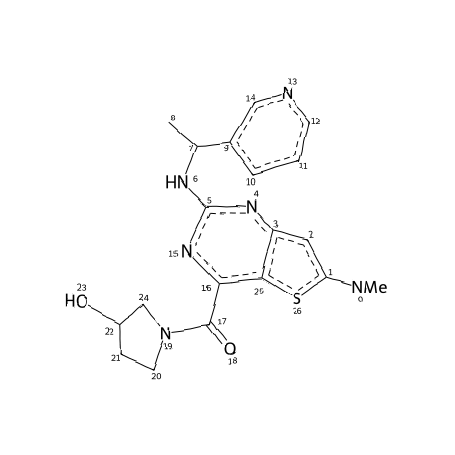 CNc1cc2nc(NC(C)c3cccnc3)nc(C(=O)N3CCC(O)C3)c2s1